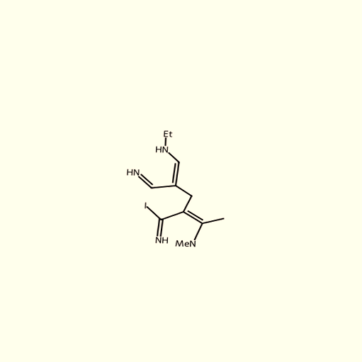 CCN/C=C(\C=N)C/C(C(=N)I)=C(\C)NC